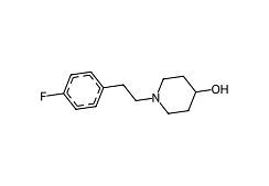 OC1CCN(CCc2ccc(F)cc2)CC1